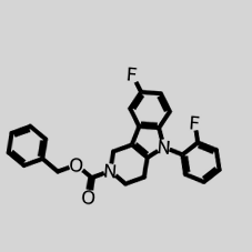 O=C(OCc1ccccc1)N1CCc2c(c3cc(F)ccc3n2-c2ccccc2F)C1